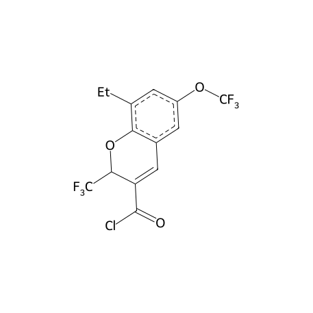 CCc1cc(OC(F)(F)F)cc2c1OC(C(F)(F)F)C(C(=O)Cl)=C2